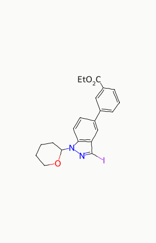 CCOC(=O)c1cccc(-c2ccc3c(c2)c(I)nn3C2CCCCO2)c1